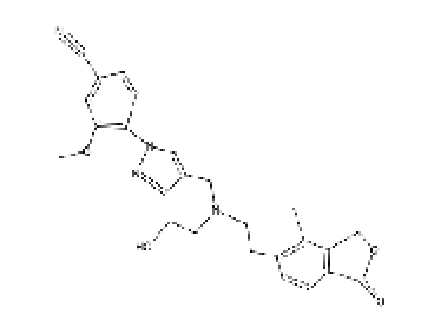 COc1cc(C#N)ccc1-n1cc(CN(CCO)CCc2ccc3c(c2C)COC3=O)cn1